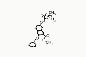 COC(=O)c1cc2cc(OCC(=O)OC(C)(C)C)ccc2cc1OCc1ccccc1